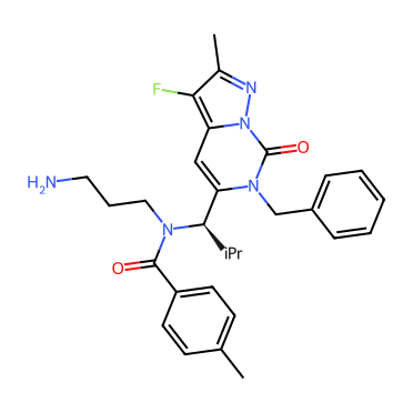 Cc1ccc(C(=O)N(CCCN)[C@@H](c2cc3c(F)c(C)nn3c(=O)n2Cc2ccccc2)C(C)C)cc1